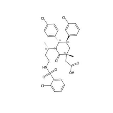 C[C@@H](CCNS(=O)(=O)c1ccccc1Cl)N1C(=O)[C@@](C)(CC(=O)O)C[C@H](c2cccc(Cl)c2)[C@H]1c1ccc(Cl)cc1